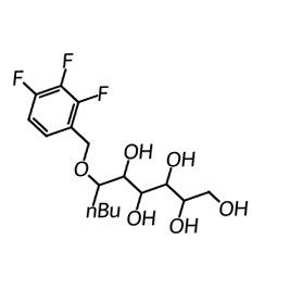 CCCCC(OCc1ccc(F)c(F)c1F)C(O)C(O)C(O)C(O)CO